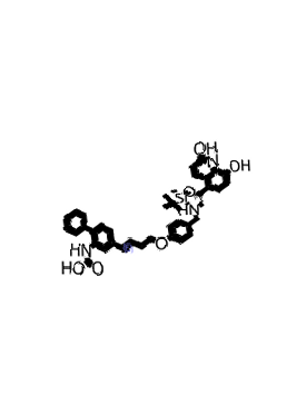 CC(C)(C)[Si](C)(C)O[C@@H](CNCc1ccc(OCC/C=C/c2ccc(-c3ccccc3)c(NC(=O)O)c2)cc1)c1ccc(O)c2[nH]c(=O)ccc12